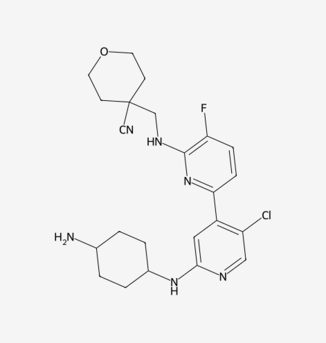 N#CC1(CNc2nc(-c3cc(NC4CCC(N)CC4)ncc3Cl)ccc2F)CCOCC1